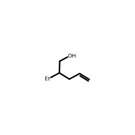 C=CCC(CC)CO